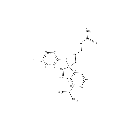 NC(=O)OCCCS1(Cc2ccc(Cl)cc2)C=Nc2c(C(N)=O)cccc21